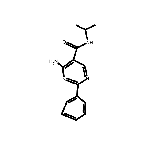 CC(C)NC(=O)c1cnc(-c2ccccc2)nc1N